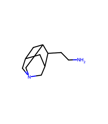 NCCC1C2CC3CC1CN(C3)C2